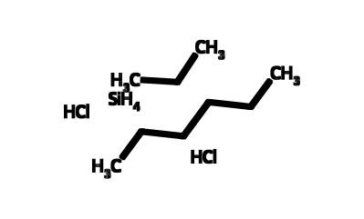 CCC.CCCCCC.Cl.Cl.[SiH4]